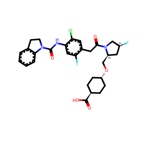 O=C(Nc1cc(F)c(CC(=O)N2C[C@@H](F)C[C@H]2CO[C@H]2CC[C@H](C(=O)O)CC2)cc1Cl)N1CCc2ccccc21